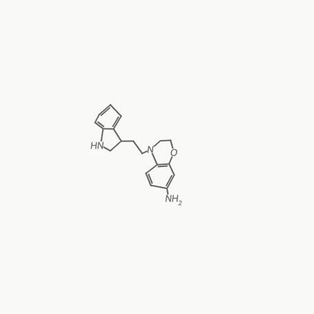 Nc1ccc2c(c1)OCCN2CCC1CNc2ccccc21